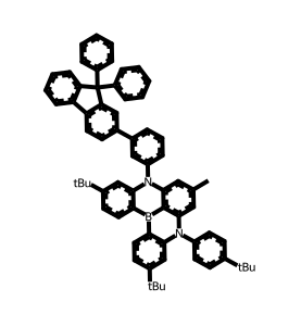 Cc1cc2c3c(c1)N(c1cccc(-c4ccc5c(c4)C(c4ccccc4)(c4ccccc4)c4ccccc4-5)c1)c1cc(C(C)(C)C)ccc1B3c1ccc(C(C)(C)C)cc1N2c1ccc(C(C)(C)C)cc1